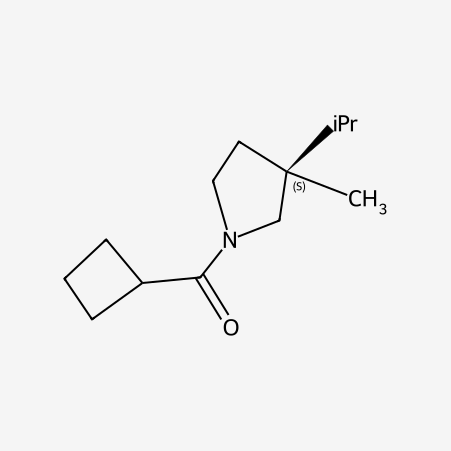 CC(C)[C@]1(C)CCN(C(=O)C2CCC2)C1